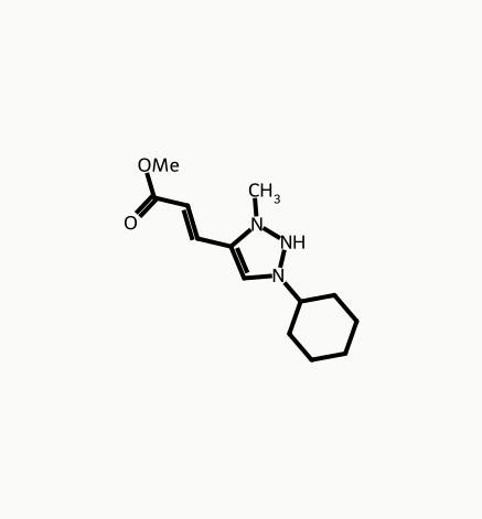 COC(=O)/C=C/C1=CN(C2CCCCC2)NN1C